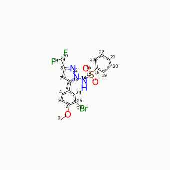 COc1ccc(-c2cc(C(F)F)nn2NS(=O)(=O)c2ccccc2)cc1Br